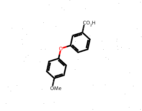 COc1ccc(Oc2cccc(C(=O)O)c2)cc1